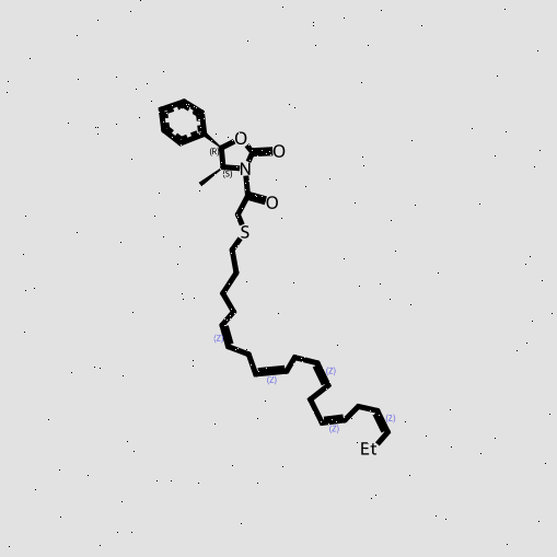 CC/C=C\C/C=C\C/C=C\C/C=C\C/C=C\CCCCSCC(=O)N1C(=O)O[C@H](c2ccccc2)[C@@H]1C